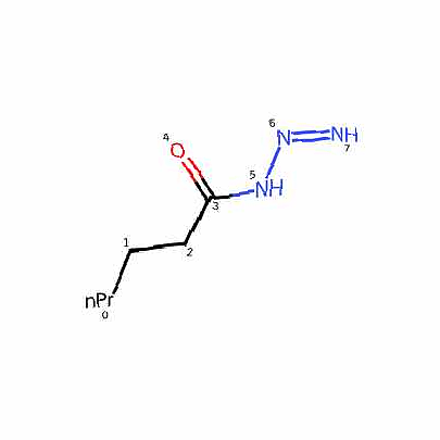 CCCCCC(=O)NN=N